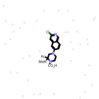 CNC1(C(C)=O)CN(c2ccc3cnc(Cl)cc3c2)CCN1C(=O)O